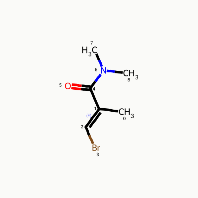 C/C(=C\Br)C(=O)N(C)C